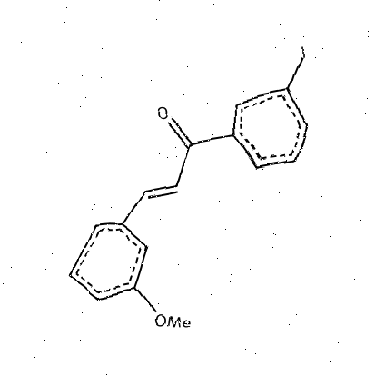 COc1cccc(C=CC(=O)c2cccc(I)c2)c1